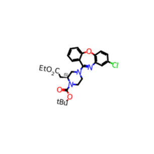 CCOC(=O)C[C@H]1CN(C2=Nc3cc(Cl)ccc3Oc3ccccc32)CCN1C(=O)OC(C)(C)C